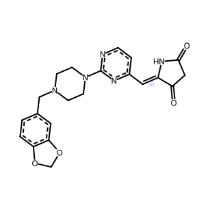 O=C1CC(=O)/C(=C/c2ccnc(N3CCN(Cc4ccc5c(c4)OCO5)CC3)n2)N1